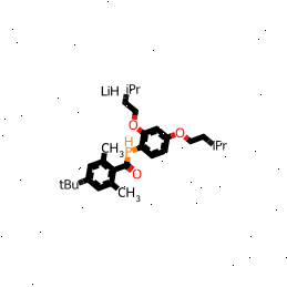 Cc1cc(C(C)(C)C)cc(C)c1C(=O)Pc1ccc(OCCC(C)C)cc1OCCC(C)C.[LiH]